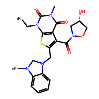 CCCN1CN(Cc2sc3c(c2C(=O)N2C[C@H](O)CO2)c(=O)n(C)c(=O)n3CC(C)C)c2ccccc21